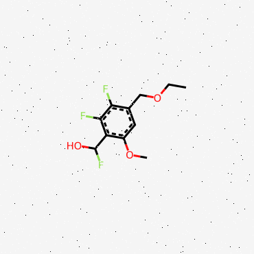 CCOCc1cc(OC)c(C(O)F)c(F)c1F